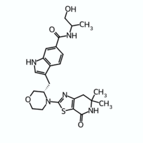 CC(CO)NC(=O)c1ccc2c(C[C@H]3COCCN3c3nc4c(s3)C(=O)NC(C)(C)C4)c[nH]c2c1